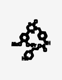 COc1ccc(C2=NN(Cc3ccc(NC(=O)OCCN4CCNCC4)cc3)C(=O)SC2)cc1OC(C)C